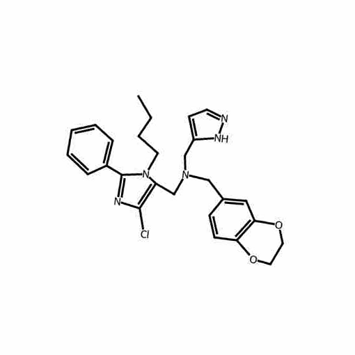 CCCCn1c(-c2ccccc2)nc(Cl)c1CN(Cc1ccc2c(c1)OCCO2)Cc1ccn[nH]1